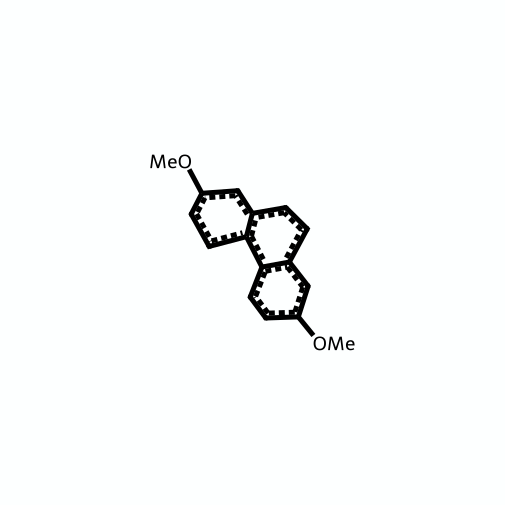 COc1ccc2c(ccc3cc(OC)ccc32)c1